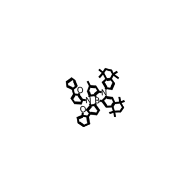 Cc1cc2c3c(c1)N(c1cccc4c1oc1ccccc14)c1c(ccc4c1oc1ccccc14)B3c1cc3c(cc1N2c1ccc2c(c1)C(C)(C)CCC2(C)C)C(C)(C)CCC3(C)C